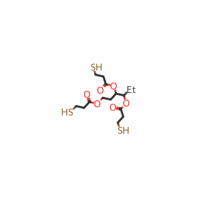 CCC(OC(=O)CCS)C(CCOC(=O)CCS)OC(=O)CCS